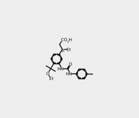 CCOC(C)(C)c1ccc([C@H](CC)CC(=O)O)cc1NC(=O)Nc1ccc(C)cc1